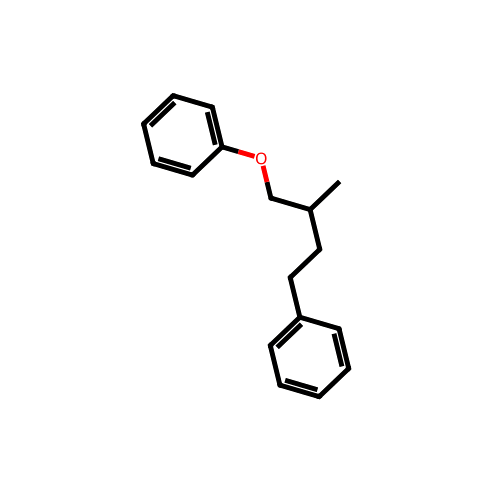 CC(CCc1ccccc1)COc1ccccc1